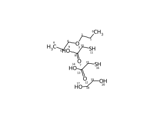 CCCOCCC.O=C(O)CS.O=C(O)CS.OCCO